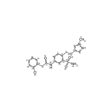 Cn1cc(OCc2ccc(NC(=O)Cc3ccccc3Cl)cc2S(N)(=O)=O)cn1